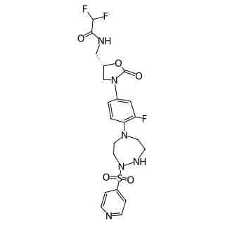 O=C(NC[C@H]1CN(c2ccc(N3CCNN(S(=O)(=O)c4ccncc4)CC3)c(F)c2)C(=O)O1)C(F)F